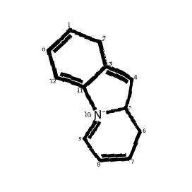 C1=CCC2=CC3CC=CC=[N+]3C2=C1